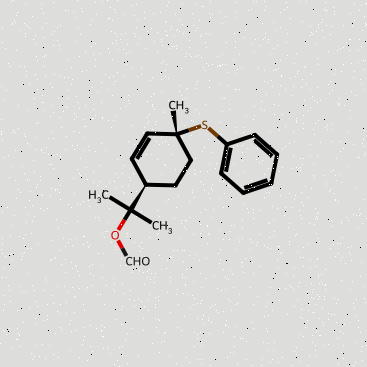 CC(C)(OC=O)[C@H]1C=C[C@](C)(Sc2ccccc2)CC1